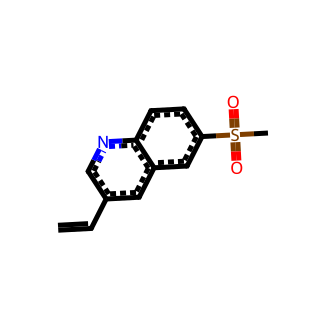 C=Cc1cnc2ccc(S(C)(=O)=O)cc2c1